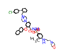 Cc1cc(S(=O)(=O)NC(=O)c2ccc(N3CCN(Cc4ccccc4-c4ccc(Cl)cc4)CC3)cc2Oc2ccc3ccccc3c2)ccc1NCCCN1CCOCC1